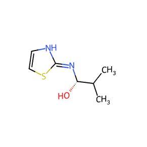 CC(C)[C@H](O)/N=c1/[nH]ccs1